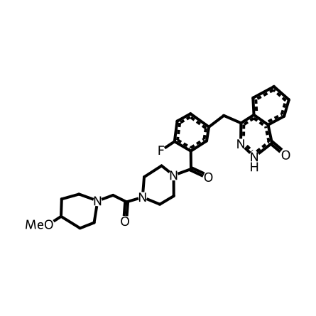 COC1CCN(CC(=O)N2CCN(C(=O)c3cc(Cc4n[nH]c(=O)c5ccccc45)ccc3F)CC2)CC1